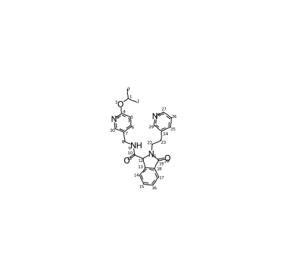 CC(C)Oc1ccc(CNC(=O)C2c3ccccc3C(=O)N2CCc2cccnc2)cn1